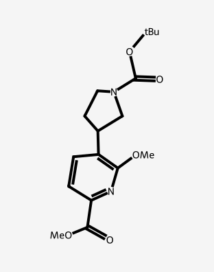 COC(=O)c1ccc(C2CCN(C(=O)OC(C)(C)C)C2)c(OC)n1